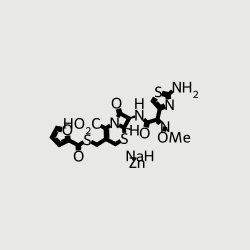 CO/N=C(\C(=O)N[C@@H]1C(=O)N2C(C(=O)O)=C(CSC(=O)c3ccco3)CS[C@H]12)c1csc(N)n1.[NaH].[Zn]